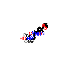 COC(O)N[C@H](C(=O)N1CCC[C@H]1c1ncc(-c2ccc(B3OC(C)(C)C(C)(C)O3)c3cnoc23)[nH]1)C(C)C